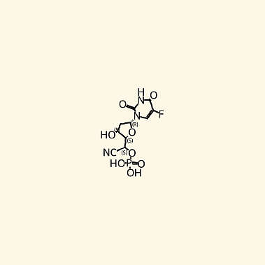 N#C[C@H](OP(=O)(O)O)[C@H]1O[C@@H](n2cc(F)c(=O)[nH]c2=O)C[C@@H]1O